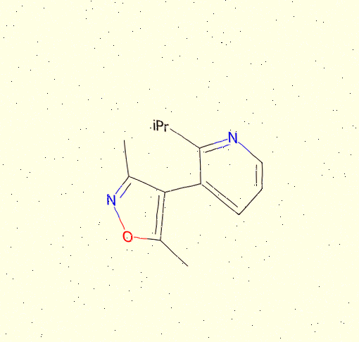 Cc1noc(C)c1-c1cccnc1C(C)C